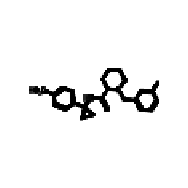 Cc1cccc(CN2CCCC[C@@H]2C(=O)NC2(c3ccc(C(=O)O)cc3)CC2)c1